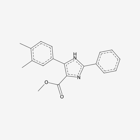 COC(=O)c1nc(-c2ccccc2)[nH]c1-c1ccc(C)c(C)c1